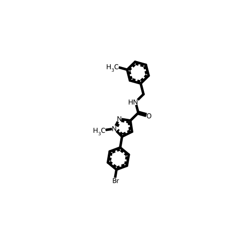 Cc1cccc(CNC(=O)c2cc(-c3ccc(Br)cc3)n(C)n2)c1